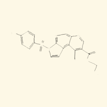 CCOC(=O)c1cnc2cnc3c(ccn3S(=O)(=O)c3ccc(C)cc3)c2c1O